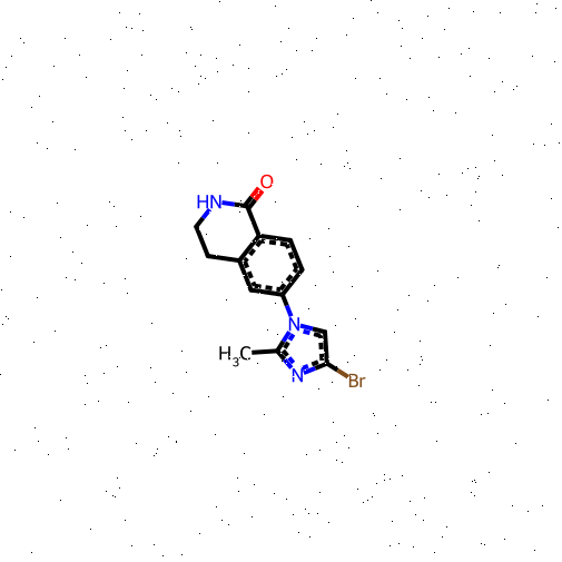 Cc1nc(Br)cn1-c1ccc2c(c1)CCNC2=O